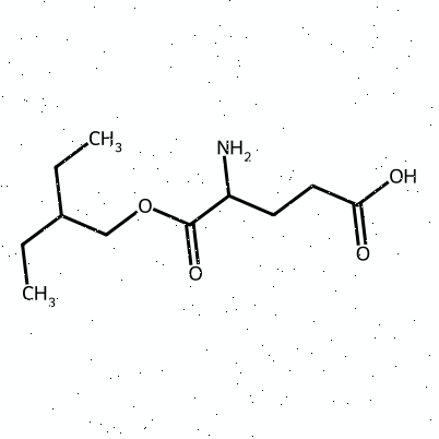 CCC(CC)COC(=O)C(N)CCC(=O)O